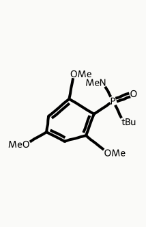 CNP(=O)(c1c(OC)cc(OC)cc1OC)C(C)(C)C